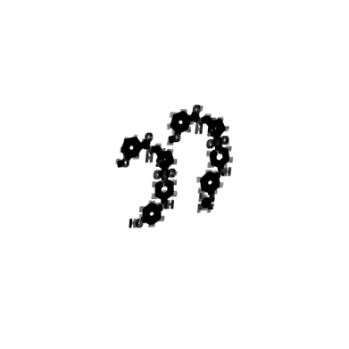 COc1cccc(C(=O)NCc2ccc(S(=O)(=O)N3CCC(Nc4ccc(O)cc4)CC3)s2)c1.COc1cccc(C(=O)NCc2ccc(S(=O)(=O)N3CCC(Nc4cccc(SC(F)(F)F)c4)CC3)s2)c1